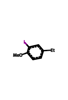 CCc1ccc(OC)c(I)c1